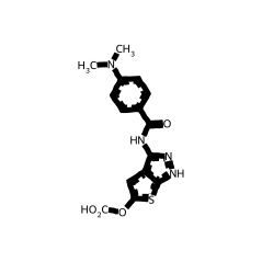 CN(C)c1ccc(C(=O)Nc2n[nH]c3sc(OC(=O)O)cc23)cc1